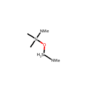 CN[SiH2]O[Si](C)(C)NC